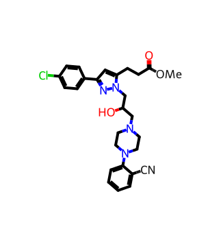 COC(=O)CCc1cc(-c2ccc(Cl)cc2)nn1CC(O)CN1CCN(c2ccccc2C#N)CC1